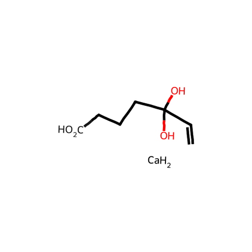 C=CC(O)(O)CCCC(=O)O.[CaH2]